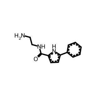 NCCNC(=O)c1ccc(-c2ccccc2)[nH]1